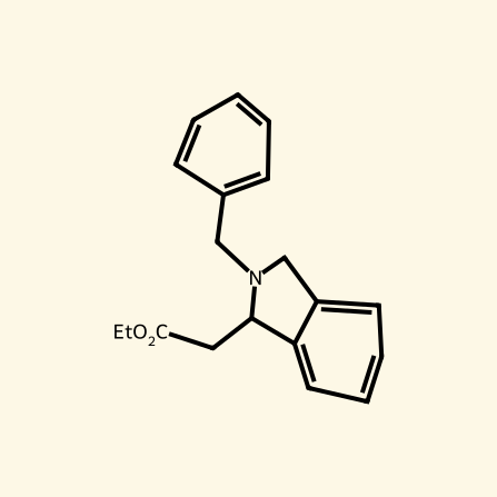 CCOC(=O)CC1c2ccccc2CN1Cc1ccccc1